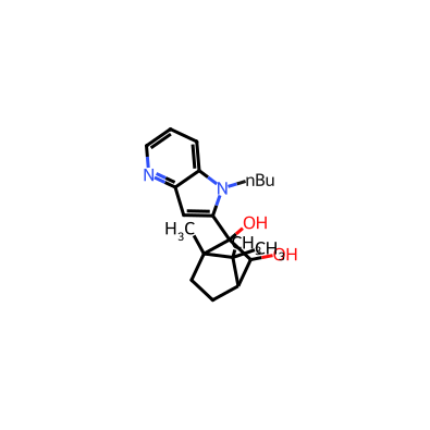 CCCCn1c(C2(O)C(O)C3CCC2(C)C3(C)C)cc2ncccc21